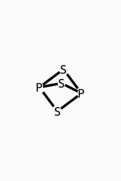 S1P2SP1S2